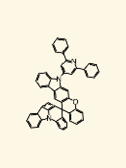 c1ccc(-c2cc(-n3c4ccccc4c4cc5c(cc43)Oc3ccccc3C53c4ccccc4-n4c5ccccc5c5cccc3c54)cc(-c3ccccc3)n2)cc1